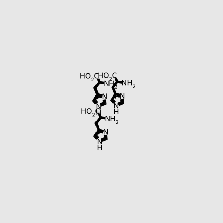 NC(Cc1c[nH]cn1)C(=O)O.NC(Cc1c[nH]cn1)C(=O)O.NC(Cc1c[nH]cn1)C(=O)O